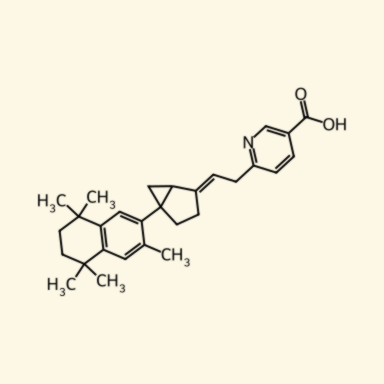 Cc1cc2c(cc1C13CCC(=CCc4ccc(C(=O)O)cn4)C1C3)C(C)(C)CCC2(C)C